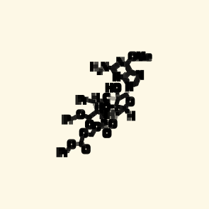 COc1nc(N)nc2c1ncn2[C@@H]1O[C@@H]2[C@H](OP(=O)(N[C@@H](CC(C)C)C(=O)OC(C)C)OCOC(=O)OC(C)C)[C@]2(O)[C@@]1(C)O